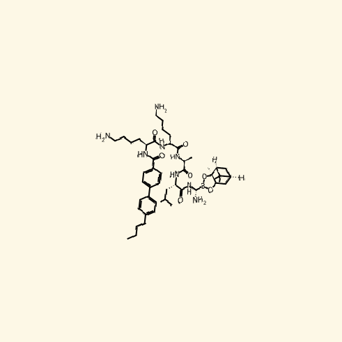 CCCCc1ccc(-c2ccc(C(=O)N[C@@H](CCCCN)C(=O)N[C@@H](CCCCN)C(=O)N[C@@H](C)C(=O)N[C@@H](CC(C)C)C(=O)N[C@@H](N)B3OC4C[C@@H]5C[C@@H](C5(C)C)[C@]4(C)O3)cc2)cc1